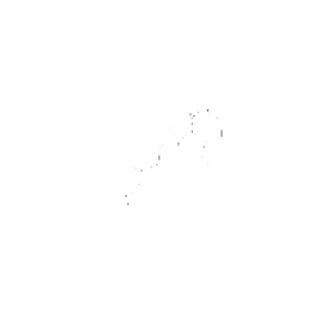 Cc1cccc(C(F)(F)F)c1S(=O)(=O)NNC(=O)NC(C)(C(F)(F)F)C(F)(F)F